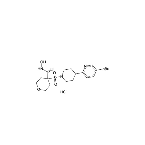 CCCCc1ccc(C2CCN(S(=O)(=O)C3(C(=O)NO)CCOCC3)CC2)nc1.Cl